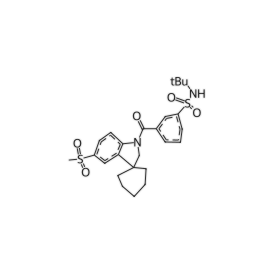 CC(C)(C)NS(=O)(=O)c1cccc(C(=O)N2CC3(CCCCC3)c3cc(S(C)(=O)=O)ccc32)c1